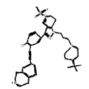 CC(C)(C)C1CCN(CCCn2nc(-c3ccc(Cl)c(C#Cc4ccc5c(c4)CNCC5)c3)c3c2CCN(S(C)(=O)=O)C3)CC1